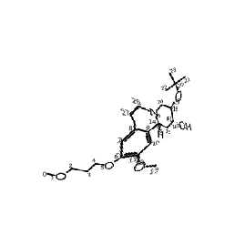 COCCCOc1cc2c(cc1OC)[C@H]1C[C@@H](O)[C@H](OC(C)(C)C)CN1CC2